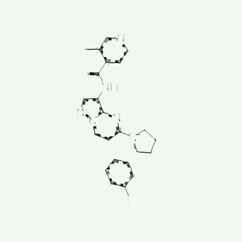 Cc1cnccc1C(=O)Nc1cnn2ccc(N3CCC[C@@H]3c3cccc(F)c3)nc12